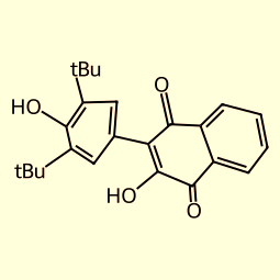 CC(C)(C)c1cc(C2=C(O)C(=O)c3ccccc3C2=O)cc(C(C)(C)C)c1O